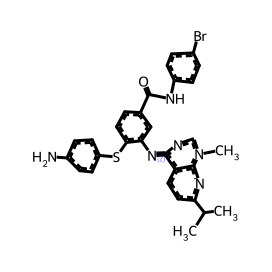 CC(C)c1ccc2/c(=N/c3cc(C(=O)Nc4ccc(Br)cc4)ccc3Sc3ccc(N)cc3)ncn(C)c2n1